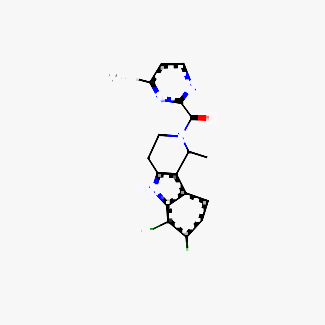 COc1ccnc(C(=O)N2CCc3[nH]c4c(Cl)c(Cl)ccc4c3C2C)n1